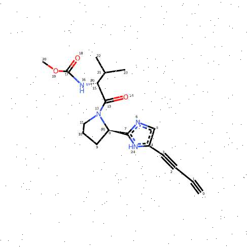 C#CC#Cc1cnc([C@H]2CCCN2C(=O)[C@H](NC(=O)OC)C(C)C)[nH]1